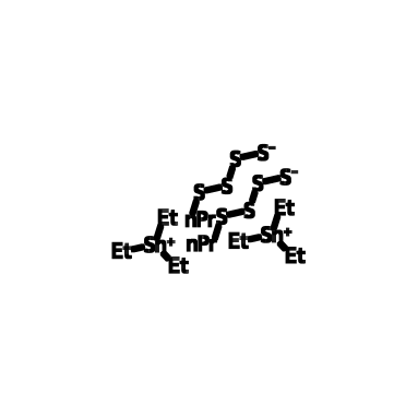 CCCSSS[S-].CCCSSS[S-].C[CH2][Sn+]([CH2]C)[CH2]C.C[CH2][Sn+]([CH2]C)[CH2]C